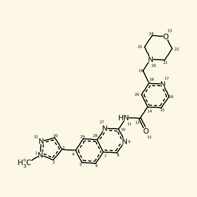 Cn1cc(-c2ccc3cnc(NC(=O)c4ccnc(CN5CCOCC5)c4)nc3c2)cn1